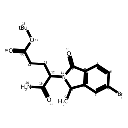 CC1c2cc(Br)ccc2C(=O)N1C(CCC(=O)OC(C)(C)C)C(N)=O